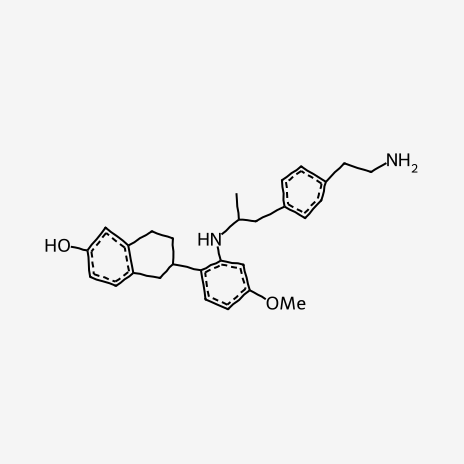 COc1ccc(C2CCc3cc(O)ccc3C2)c(NC(C)Cc2ccc(CCN)cc2)c1